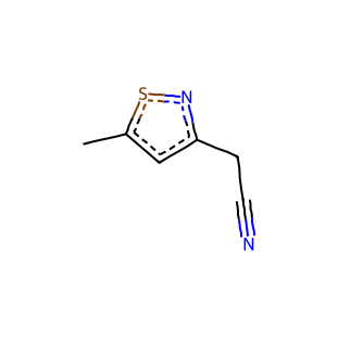 Cc1cc(CC#N)ns1